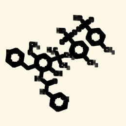 COc1cc(C(C)(C)C)c(O)c(NC(=O)Nc2cccnc2)c1Cc1ccncc1.Cc1ccc(S(=O)(=O)O)cc1.Cc1ccc(S(=O)(=O)O)cc1